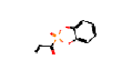 C=CC(=O)P1(=O)Oc2ccccc2O1